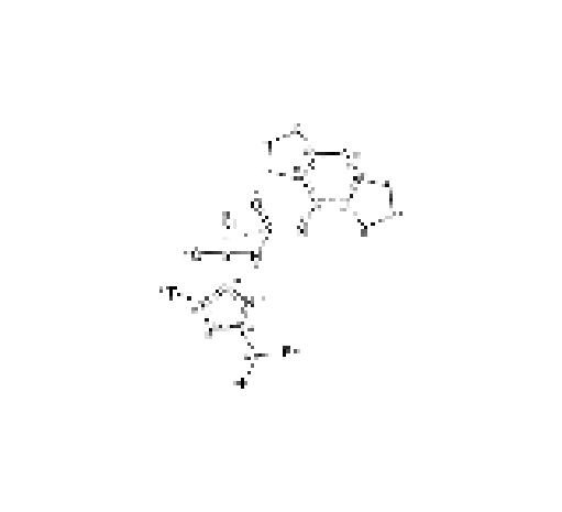 N[S@](=O)(=NC(=O)Nc1c2c(nc3c1CCC3)CCC2)c1nn(C(F)F)cc1F